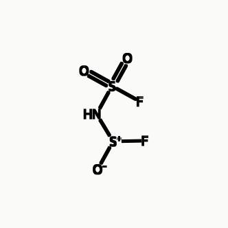 O=S(=O)(F)N[S+]([O-])F